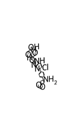 NC1(c2ccc(-c3nc4nc(O[C@@H]5CO[C@H]6[C@@H]5OC[C@H]6O)[nH]c4cc3Cl)cc2)CC2(C1)OCCO2